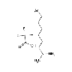 CC(=O)CCCCCCN(C)N.O=C(O)C(F)(F)F